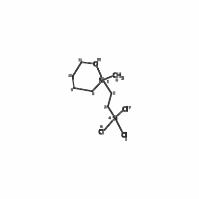 C[Si]1(CC[Si](Cl)(Cl)Cl)CCCCO1